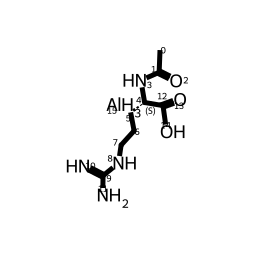 CC(=O)N[C@@H](CCCNC(=N)N)C(=O)O.[AlH3]